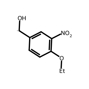 CCOc1ccc([CH]O)cc1[N+](=O)[O-]